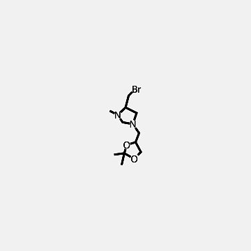 CN1CN(CC2COC(C)(C)O2)CC1CBr